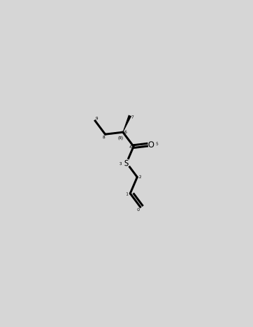 C=CCSC(=O)[C@H](C)CC